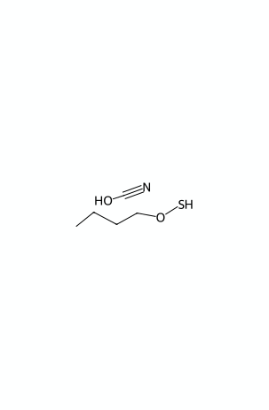 CCCCOS.N#CO